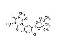 CCC1(C)OB(c2cc(-n3c(=O)n(C)c(=S)n(C)c3=O)c(F)cc2Cl)OC1(C)C